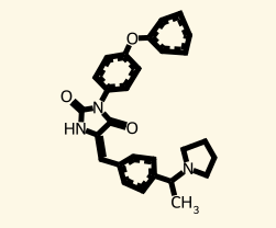 CC(c1ccc(C=C2NC(=O)N(c3ccc(Oc4ccccc4)cc3)C2=O)cc1)N1CCCC1